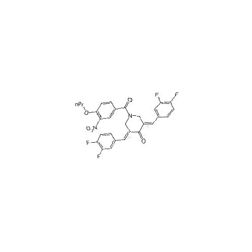 CCCOc1ccc(C(=O)N2C/C(=C\c3ccc(F)c(F)c3)C(=O)/C(=C/c3ccc(F)c(F)c3)C2)cc1[N+](=O)[O-]